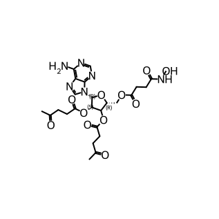 CC(=O)CCC(=O)OC1[C@@H](COC(=O)CCC(=O)NO)O[C@@H](n2cnc3c(N)ncnc32)[C@H]1OC(=O)CCC(C)=O